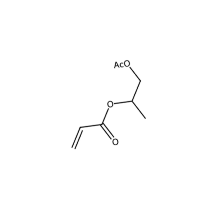 C=CC(=O)OC(C)COC(C)=O